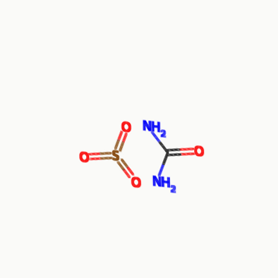 NC(N)=O.O=S(=O)=O